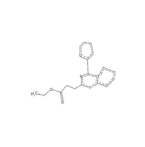 CCOC(=O)CCc1cc2ccccc2c(-c2ccccc2)n1